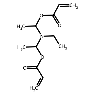 C=CC(=O)OC(C)N(CC)C(C)OC(=O)C=C